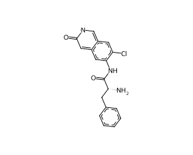 N[C@H](Cc1ccccc1)C(=O)Nc1cc2c(cc1Cl)=C[N]C(=O)C=2